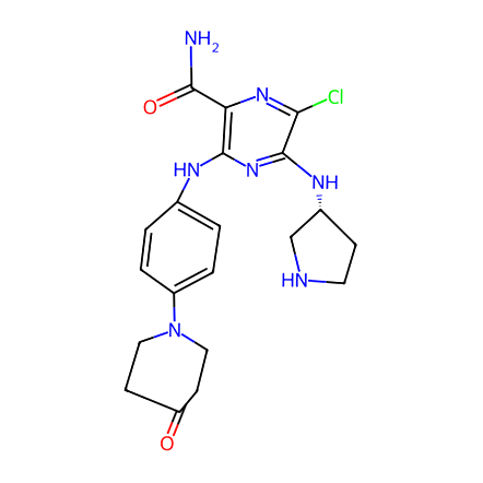 NC(=O)c1nc(Cl)c(N[C@@H]2CCNC2)nc1Nc1ccc(N2CCC(=O)CC2)cc1